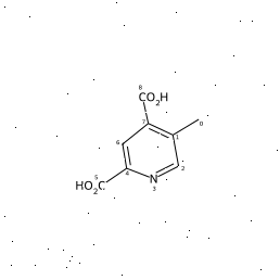 Cc1cnc(C(=O)O)cc1C(=O)O